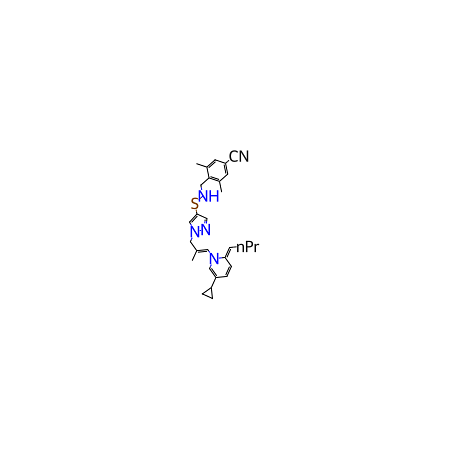 CCC/C=C1\C=CC(C2CC2)=CN1/C=C(\C)Cn1cc(SNCc2c(C)cc(C#N)cc2C)cn1